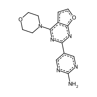 Nc1ncc(-c2nc(N3CCOCC3)c3ccoc3n2)cn1